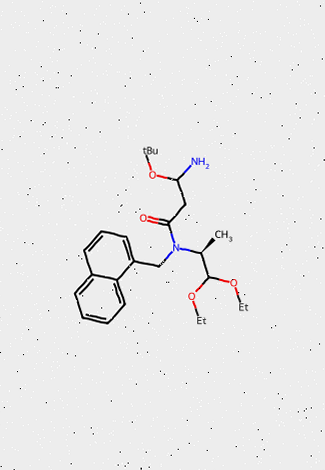 CCOC(OCC)[C@H](C)N(Cc1cccc2ccccc12)C(=O)CC(N)OC(C)(C)C